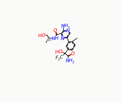 Cc1ccc(C(O)(C(N)=O)C(F)(F)F)cc1-c1cnc(N)c(C(=O)N[C@@H](C)CO)n1